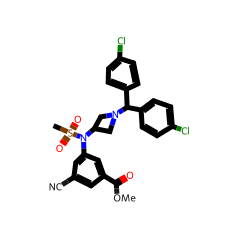 COC(=O)c1cc(C#N)cc(N(C2CN(C(c3ccc(Cl)cc3)c3ccc(Cl)cc3)C2)S(C)(=O)=O)c1